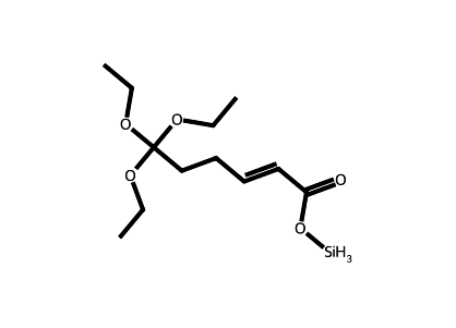 CCOC(CCC=CC(=O)O[SiH3])(OCC)OCC